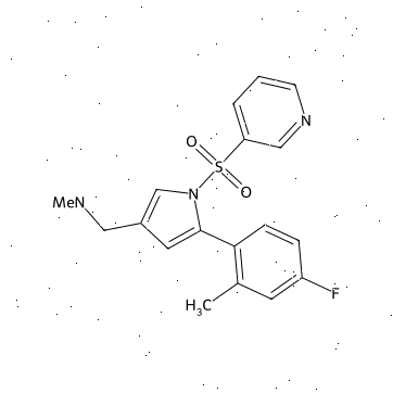 CNCc1cc(-c2ccc(F)cc2C)n(S(=O)(=O)c2cccnc2)c1